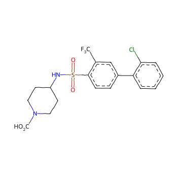 O=C(O)N1CCC(NS(=O)(=O)c2ccc(-c3ccccc3Cl)cc2C(F)(F)F)CC1